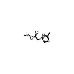 CCOC(=O)Cn1cnc(C)n1